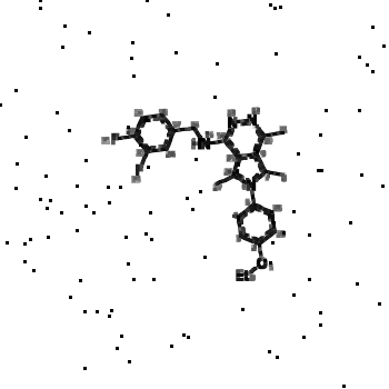 CCOc1ccc(-n2c(C)c3c(C)nnc(NCc4ccc(F)c(F)c4)c3c2C)cc1